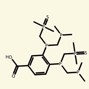 CP(C)CP(CP(C)(C)=S)c1ccc(C(=O)O)cc1P(CP(C)C)CP(C)(C)=S